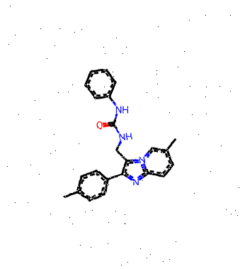 Cc1ccc(-c2nc3ccc(C)cn3c2CNC(=O)Nc2ccccc2)cc1